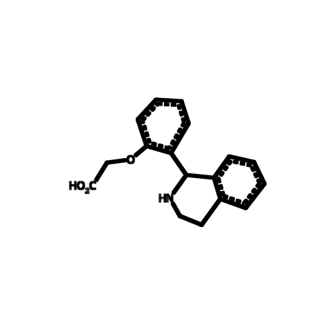 O=C(O)COc1ccccc1C1NCCc2ccccc21